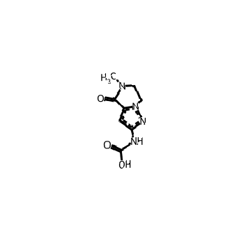 CN1CCn2nc(NC(=O)O)cc2C1=O